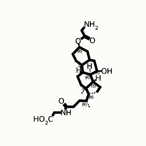 C[C@H](CCC(=O)NCC(=O)O)[C@H]1CC[C@H]2[C@@H]3[C@H](O)CC4C[C@H](OC(=O)CN)CC[C@]4(C)[C@H]3CC[C@]12C